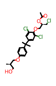 CC(=O)O[C@@H](CCl)COc1c(Cl)cc(C(C)(C)c2ccc(OC[C@H](C)CO)cc2)cc1Cl